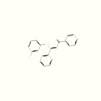 O=C(/C=C(\Nc1cccc([N+](=O)[O-])c1)c1ccccc1)c1ccccc1